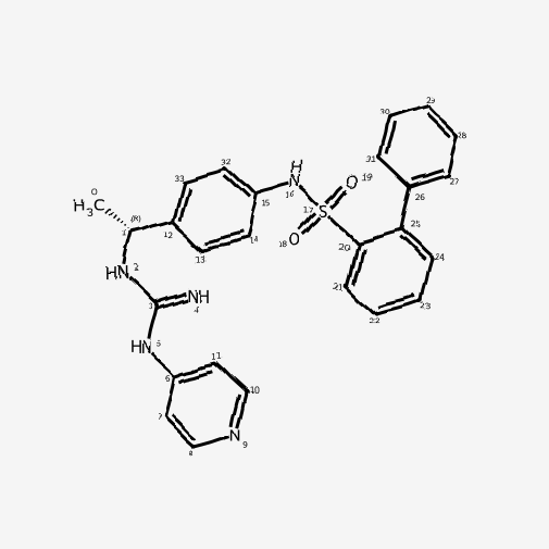 C[C@@H](NC(=N)Nc1ccncc1)c1ccc(NS(=O)(=O)c2ccccc2-c2ccccc2)cc1